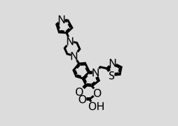 O=C(O)Oc1cn(Cc2nccs2)c2cc(N3CCN(c4ccncc4)CC3)ccc2c1=O